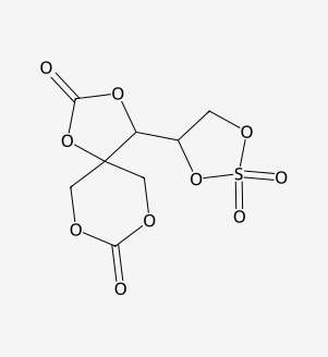 O=C1OCC2(CO1)OC(=O)OC2C1COS(=O)(=O)O1